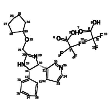 O=C(O)C(F)(F)F.O=C(O)C(F)(F)F.c1ccc([C@@H]2NC(COC3CCCCC3)=N[C@@H]2c2cccnc2)cc1